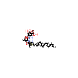 CC/C=C\C/C=C\C/C=C\C/C=C\C/C=C\C/C=C\CCCSC(CC)(CC)C(=O)NC(CC(C)C)C(=O)Nc1ccc(O)c(C(=O)O)c1